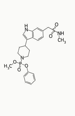 CNS(=O)(=O)Cc1ccc2c(C3CCN(P(=O)(OC)Oc4ccccc4)CC3)c[nH]c2c1